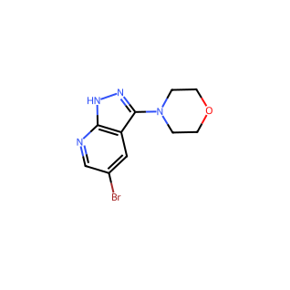 Brc1cnc2[nH]nc(N3CCOCC3)c2c1